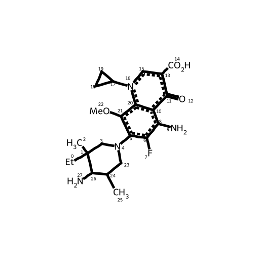 CCC1(C)CN(c2c(F)c(N)c3c(=O)c(C(=O)O)cn(C4CC4)c3c2OC)CC(C)C1N